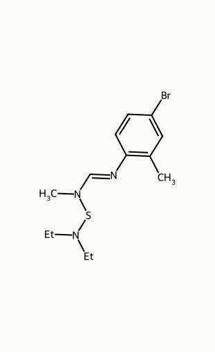 CCN(CC)SN(C)C=Nc1ccc(Br)cc1C